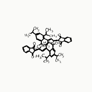 CC(C)c1cc(C(C)C)c(-c2cc(=C3C(=O)c4ccccc4C3=O)sc2=c2sc(=C3C(=O)c4ccccc4C3=O)cc2-c2c(C(C)C)cc(C(C)C)cc2C(C)C)c(C(C)C)c1